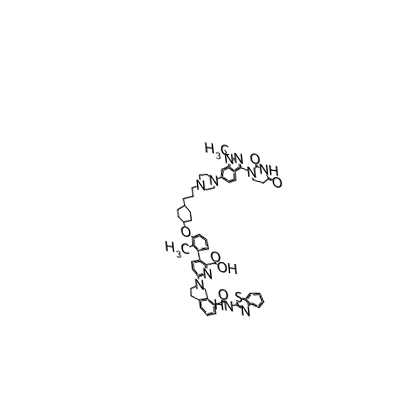 Cc1c(OC2CCC(CCCN3CCN(c4ccc5c(N6CCC(=O)NC6=O)nn(C)c5c4)CC3)CC2)cccc1-c1ccc(N2CCc3cccc(C(=O)Nc4nc5ccccc5s4)c3C2)nc1C(=O)O